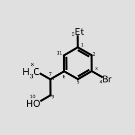 CCc1cc(Br)cc([C](C)CO)c1